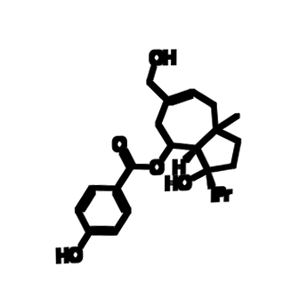 CC(C)[C@]1(O)CCC2(C)CC=C(CO)CC(OC(=O)c3ccc(O)cc3)[C@H]21